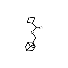 CC1(C)C2CC=C(COC(=O)C3CCC3)C1C2